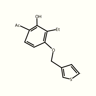 CCc1c(OCc2c[c]sc2)ccc(C(C)=O)c1O